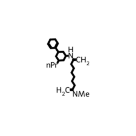 C=C(CCCCCCC(=C)NC1CC(CCC)CC(C2=CCCC=C2)C1)NC